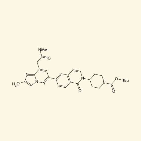 CNC(=O)Cc1cc(-c2ccc3c(=O)n(C4CCN(C(=O)OC(C)(C)C)CC4)ccc3c2)nn2cc(C)nc12